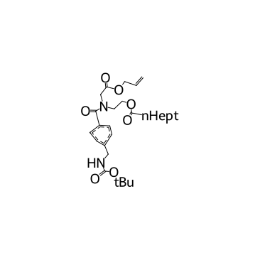 C=CCOC(=O)CN(CCOC(=O)CCCCCCC)C(=O)c1ccc(CNC(=O)OC(C)(C)C)cc1